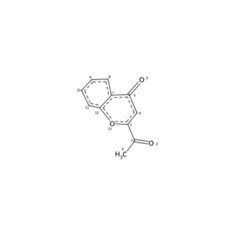 CC(=O)c1cc(=O)c2ccccc2o1